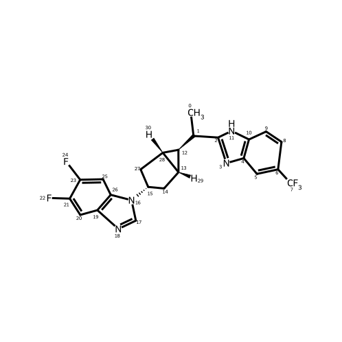 CC(c1nc2cc(C(F)(F)F)ccc2[nH]1)[C@H]1[C@@H]2C[C@H](n3cnc4cc(F)c(F)cc43)C[C@@H]21